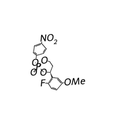 COc1ccc(F)c([C@@H]2CCO[P@@](=O)(Oc3ccc([N+](=O)[O-])cc3)O2)c1